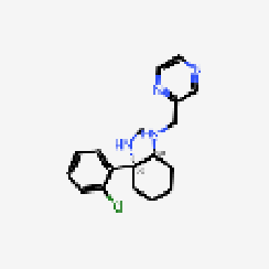 CN[C@@]1(c2ccccc2Cl)CCCC[C@@H]1NCc1cnccn1